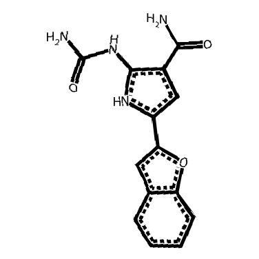 NC(=O)Nc1[nH]c(-c2cc3ccccc3o2)cc1C(N)=O